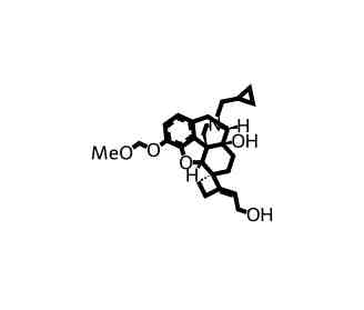 COCOc1ccc2c3c1O[C@H]1[C@@]4(CC/C4=C\CO)CC[C@@]4(O)[C@@H](C2)N(CC2CC2)CC[C@]314